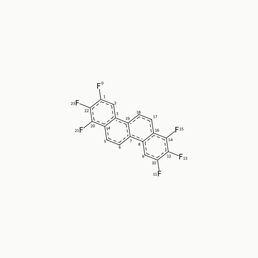 Fc1cc2c(ccc3c4cc(F)c(F)c(F)c4ccc23)c(F)c1F